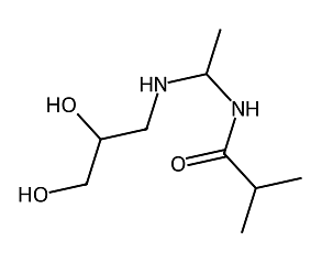 CC(NCC(O)CO)NC(=O)C(C)C